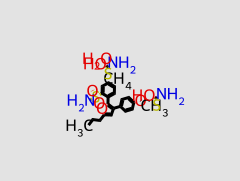 C.CCCc1cc(-c2ccc(OC)cc2)c(-c2ccccc2S(N)(=O)=O)o1.NC(O)=S.NC(O)=S.O